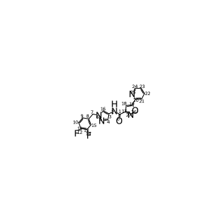 O=C(Nc1cnn(Cc2ccc(F)c(F)c2)c1)c1cc(-c2ccccn2)on1